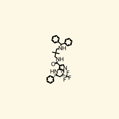 CC(C)(CNC(=O)c1cnn2c1N[C@@H](c1ccccc1)C[C@H]2C(F)(F)F)CNC(c1ccccc1)c1ccccc1